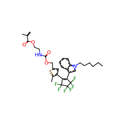 C=C(C)C(=O)OCCNC(=O)OCc1cc(C2=C(c3cn(CCCCCC)c4ccccc34)C(F)(F)C(F)(F)C2(F)F)c(C)s1